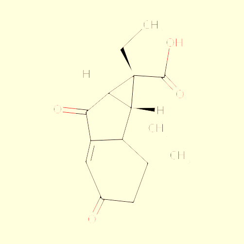 CC[C@]1(C(=O)O)[C@@H]2C(=O)C3=CC(=O)C[C@@H](C)[C@]3(C)[C@H]21